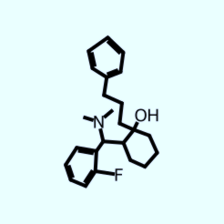 CN(C)C(c1ccccc1F)C1CCCCC1(O)CCCc1ccccc1